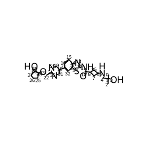 CC(C)(O)CNC1CC(C(=O)Nc2nc3ccc(-c4cnc(CO[C@H]5CCC[C@@H]5O)nc4)cc3s2)C1